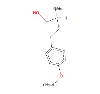 CCCCCCCOc1ccc(CC[C@](I)(CO)NC)cc1